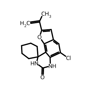 C=C(C)c1cc2cc(Cl)c3c(c2o1)C1(CCCCC1)NC(=O)N3